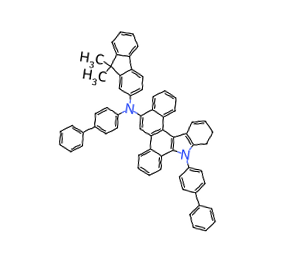 CC1(C)c2ccccc2-c2ccc(N(c3ccc(-c4ccccc4)cc3)c3cc4c5ccccc5c5c(c6c(n5-c5ccc(-c7ccccc7)cc5)CCC=C6)c4c4ccccc34)cc21